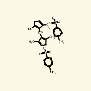 CC1=CCC(C)=[C]1[Zr+2][C]1=C(C)CC=C1C.Cc1ccc(S(=O)(=O)[O-])cc1.Cc1ccc(S(=O)(=O)[O-])cc1